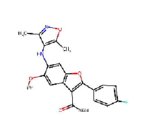 CNC(=O)c1c(-c2ccc(F)cc2)oc2cc(Nc3c(C)noc3C)c(OC(C)C)cc12